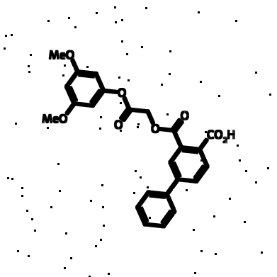 COc1cc(OC)cc(OC(=O)COC(=O)c2cc(-c3ccccc3)ccc2C(=O)O)c1